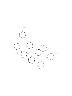 Cc1cc(N(c2ccc([Si](C)(C)C)cc2)c2ccc3c(c2)C(c2ccccc2)(c2ccccc2)c2cc(N(c4ccc([Si](C)(C)C)cc4)c4cc(C)c(C)c(C)c4)c4ccccc4c2-3)cc(C)c1C